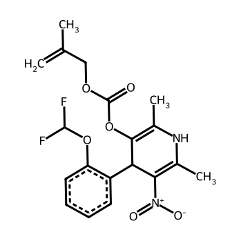 C=C(C)COC(=O)OC1=C(C)NC(C)=C([N+](=O)[O-])C1c1ccccc1OC(F)F